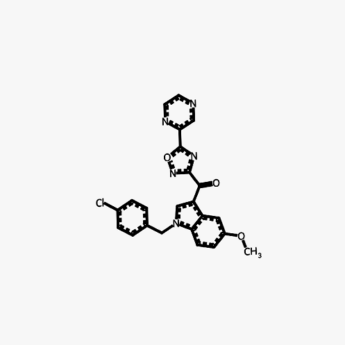 COc1ccc2c(c1)c(C(=O)c1noc(-c3cnccn3)n1)cn2Cc1ccc(Cl)cc1